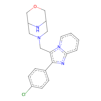 Clc1ccc(-c2nc3ccccn3c2CN2CC3COCC(C2)N3)cc1